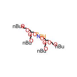 CCCCOCCOCC(COP=NPOCC(COCCOCCCC)OCCOCCCC)OCCOCCCC